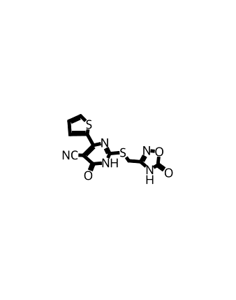 N#Cc1c(-c2cccs2)nc(SCc2noc(=O)[nH]2)[nH]c1=O